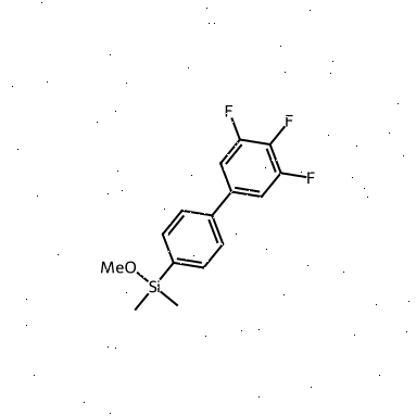 CO[Si](C)(C)c1ccc(-c2cc(F)c(F)c(F)c2)cc1